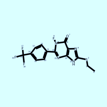 CCSc1nc2c(=O)n(F)c(-c3ccc(C(F)(F)F)cc3)nc2[nH]1